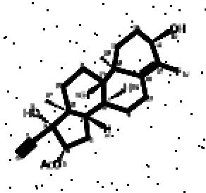 C#C[C@]1(O)[C@@H](OC(C)=O)C[C@H]2[C@@H]3CCC4=C(F)[C@H](O)CC[C@]4(C)[C@H]3CC[C@@]21C